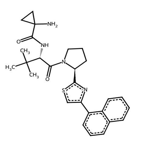 CC(C)(C)[C@H](NC(=O)C1(N)CC1)C(=O)N1CCC[C@H]1c1nc(-c2cccc3ccccc23)cs1